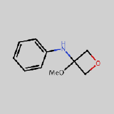 COC1(Nc2ccccc2)COC1